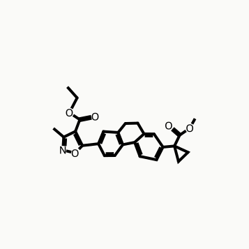 CCOC(=O)c1c(C)noc1-c1ccc2c(c1)CCc1cc(C3(C(=O)OC)CC3)ccc1-2